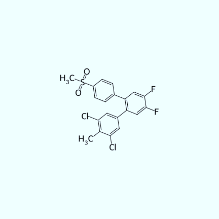 Cc1c(Cl)cc(-c2cc(F)c(F)cc2-c2ccc(S(C)(=O)=O)cc2)cc1Cl